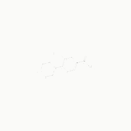 Cc1cc(C(N)=O)ccc1N1CCOCC1